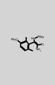 CC/C(N)=C(\NNC)c1c(C)ccc(OC)c1C